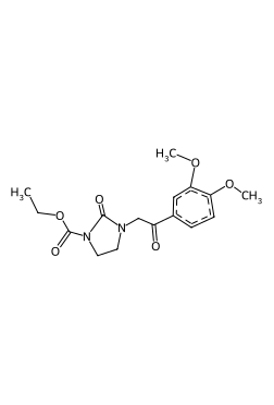 CCOC(=O)N1CCN(CC(=O)c2ccc(OC)c(OC)c2)C1=O